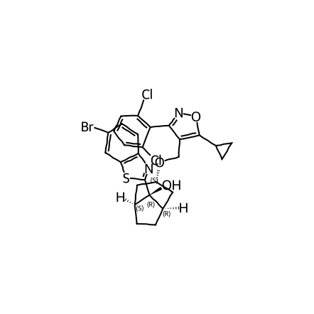 O[C@@]1(c2nc3ccc(Br)cc3s2)[C@@H]2CC[C@H]1C[C@H](OCc1c(-c3c(Cl)cccc3Cl)noc1C1CC1)C2